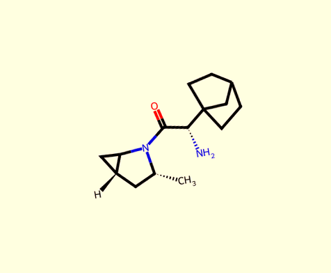 C[C@@H]1C[C@@H]2CC2N1C(=O)[C@@H](N)C12CCC(CC1)C2